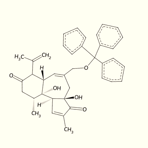 C=C(C)C1C(=O)C[C@@H](C)[C@@]2(O)[C@H]1C=C(COC(c1ccccc1)(c1ccccc1)c1ccccc1)C[C@]1(O)C(=O)C(C)=C[C@@H]21